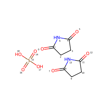 O=C1CCC(=O)N1.O=C1CCC(=O)N1.O=S(=O)(O)O